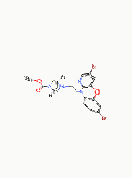 CC(C)(C)OC(=O)N1C[C@@H]2C[C@H]1CN2CCN1c2ccc(Br)cc2Oc2cc(Br)cnc21